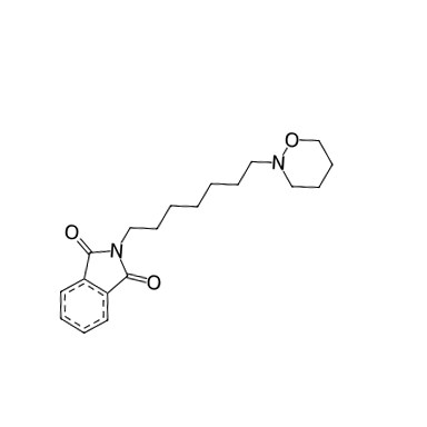 O=C1c2ccccc2C(=O)N1CCCCCCCN1CCCCO1